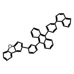 c1cc(-c2ccc3oc4ccccc4c3c2)cc(-c2c3ccccc3c(-c3ccc(-c4cccc5ccccc45)cc3)c3ccccc23)c1